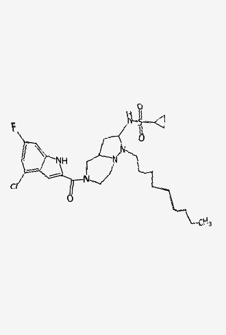 CCCCCCCCCN1C(NS(=O)(=O)C2CC2)CC2CN(C(=O)c3cc4c(Cl)cc(F)cc4[nH]3)CCN21